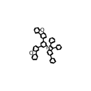 c1ccc(-c2ccc3c(c2)c(-c2ccccc2)c(-c2ccccc2)n3-c2cc(-c3ccc4oc5ccccc5c4c3)cc(-c3ccc4oc5ccccc5c4c3)c2)cc1